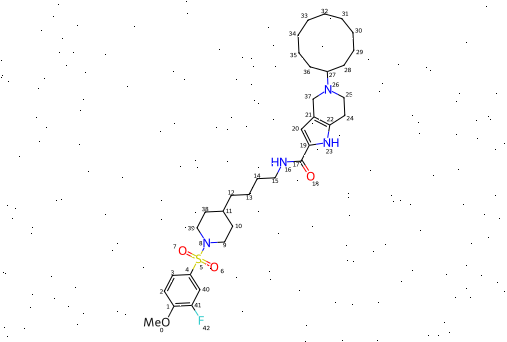 COc1ccc(S(=O)(=O)N2CCC(CCCCNC(=O)c3cc4c([nH]3)CCN(C3CCCCCCCCC3)C4)CC2)cc1F